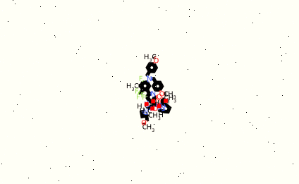 COC[C@]1(C)CCN1c1nc2c3c(nc(-c4cc(N(Cc5ccc(OC)cc5)Cc5ccc(OC)cc5)c(F)c(C)c4C(F)(F)F)c(F)c3n1)O[C@@H](C)[C@@H]1[C@@H]3CC[C@H](CN21)N3C(=O)OC(C)(C)C